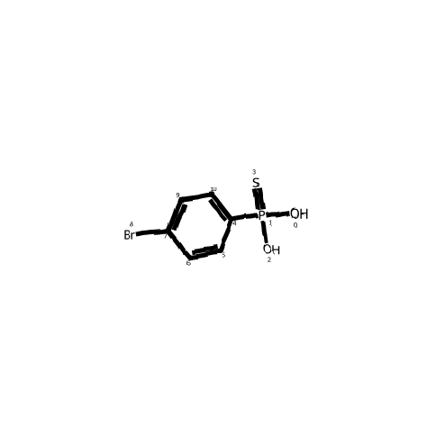 OP(O)(=S)c1ccc(Br)cc1